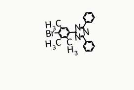 Cc1cc(-c2nc(-c3ccccc3)nc(-c3ccccc3)n2)c(C)c(C)c1Br